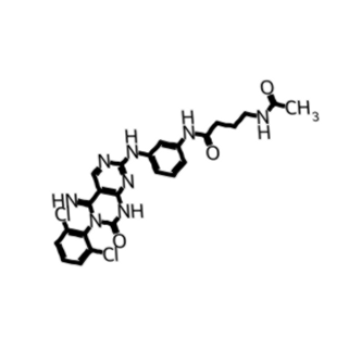 CC(=O)NCCCC(=O)Nc1cccc(Nc2ncc3c(=N)n(-c4c(Cl)cccc4Cl)c(=O)[nH]c3n2)c1